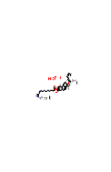 CCCCC/C=C\C/C=C\CCCCCCCC(=O)O[C@H]1CC[C@@]2(C)C(=CC[C@H]3[C@@H]4CC[C@H]([C@H](C)CCCC(C)C)[C@@]4(C)CC[C@@H]32)C1.OO